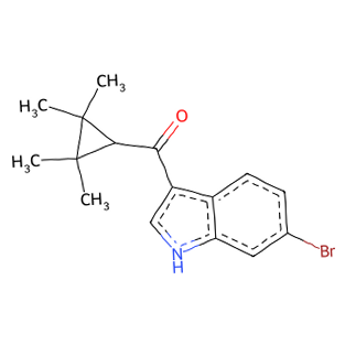 CC1(C)C(C(=O)c2c[nH]c3cc(Br)ccc23)C1(C)C